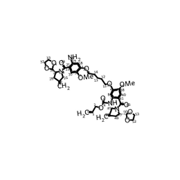 C=CCOC(=O)Nc1cc(OCCCCCOc2cc(N)c(C(=O)N3CC(=C)C[C@H]3C3OCCO3)cc2OC)c(OC)cc1C(=O)N1CC(=C)C[C@H]1C1OCCO1